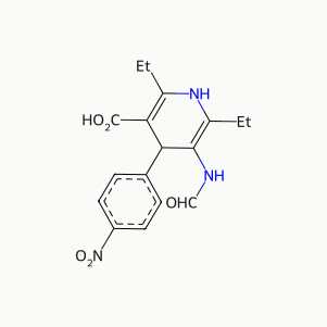 CCC1=C(NC=O)C(c2ccc([N+](=O)[O-])cc2)C(C(=O)O)=C(CC)N1